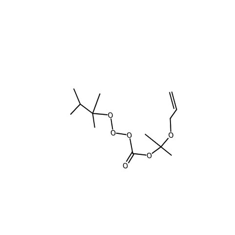 C=CCOC(C)(C)OC(=O)OOOC(C)(C)C(C)C